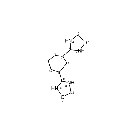 C1CC(C2NCON2)CC(C2NCON2)C1